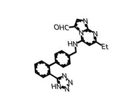 CCc1cc(NCc2ccc(-c3ccccc3-c3nnn[nH]3)cc2)n2c(C=O)cnc2n1